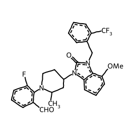 COc1cccc2c1n(Cc1ccccc1C(F)(F)F)c(=O)n2C1CCN(c2c(F)cccc2C=O)C(C)C1